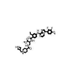 CCc1cc(Nc2nccn3c(-c4ccc(OC)c(F)c4F)cnc23)ccc1C(=O)NC(CNC(=O)C1CC[N+](C)(CC2CNC2)CC1)C(=O)OC